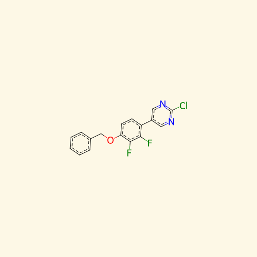 Fc1c(OCc2ccccc2)ccc(-c2cnc(Cl)nc2)c1F